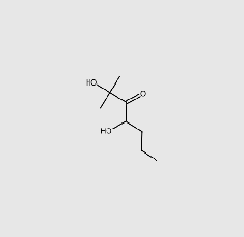 CCCC(O)C(=O)C(C)(C)O